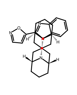 c1ccc2c(c1)nc(-c1ccno1)n2[C@H]1C[C@H]2CCC[C@@H](C1)N2[C@H]1C[C@@H]2CCC[C@@H](C2)C1